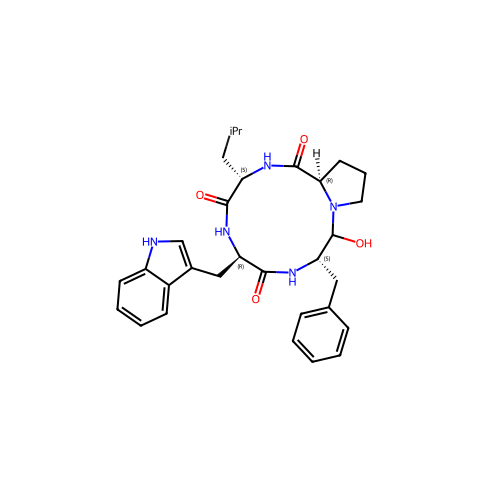 CC(C)C[C@@H]1NC(=O)[C@H]2CCCN2C(O)[C@H](Cc2ccccc2)NC(=O)[C@@H](Cc2c[nH]c3ccccc23)NC1=O